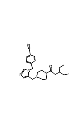 CCC(CC)CC(=O)N1CCN(Cc2cncn2Cc2ccc(C#N)cc2)CC1